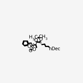 CCCCCCCCCCCCCC[C@H]1OC(C)(C)O[C@@H]1C1COS(=O)(=O)N1Cc1ccccc1